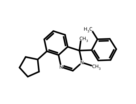 Cc1ccccc1C1(C)c2cccc(C3CCCC3)c2N=CN1C